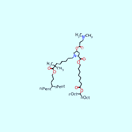 CCCCCCCCC(CCCCCCCC)OC(=O)CCCCCCCOC(=O)C1C[C@H](OC(=O)CCN(C)C)CN1CCCCCCC(C)(C)C(=O)OCCCC(CCCCC)CCCCC